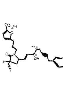 C[C@H](CC#CCc1ccccc1)[C@H](O)C=CC1CC(F)(F)C(=O)N1CCCc1ccc(C(=O)O)s1